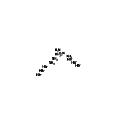 Br.Br.Br.Br.Br.Br.N.N.N.N.N.N